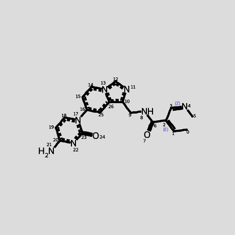 C/C=C(\C=N/C)C(=O)NCc1ncn2ccc(-n3ccc(N)nc3=O)cc12